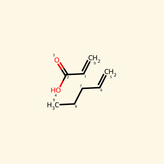 C=CC(=O)O.C=CCCC